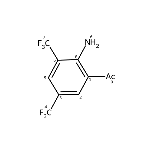 CC(=O)c1cc(C(F)(F)F)cc(C(F)(F)F)c1N